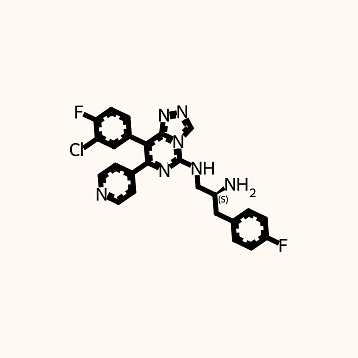 N[C@H](CNc1nc(-c2ccncc2)c(-c2ccc(F)c(Cl)c2)c2nncn12)Cc1ccc(F)cc1